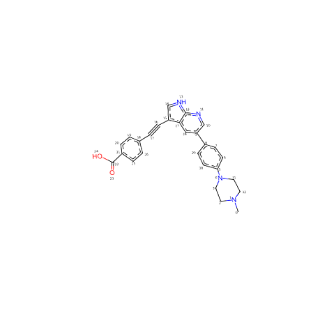 CN1CCN(c2ccc(-c3cnc4[nH]cc(C#Cc5ccc(C(=O)O)cc5)c4c3)cc2)CC1